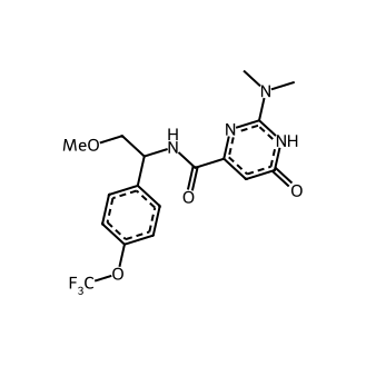 COCC(NC(=O)c1cc(=O)[nH]c(N(C)C)n1)c1ccc(OC(F)(F)F)cc1